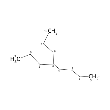 [CH2]CCCC(CCC)CCC